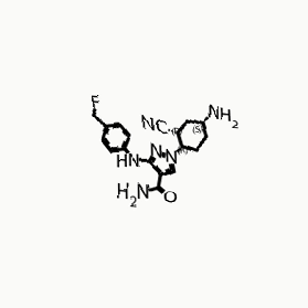 N#C[C@@H]1C[C@@H](N)CC[C@H]1n1cc(C(N)=O)c(Nc2ccc(CF)cc2)n1